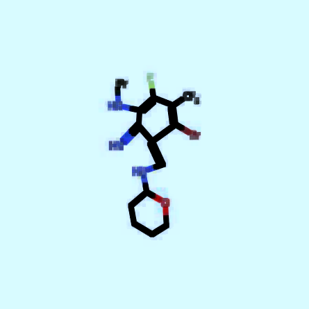 CC(C)NC1=C(F)C(C(F)(F)F)=C(Br)/C(=C/NC2CCCCO2)C1=N